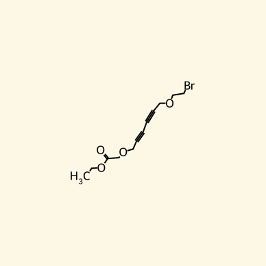 CCOC(=O)COCC#CC#CCOCCBr